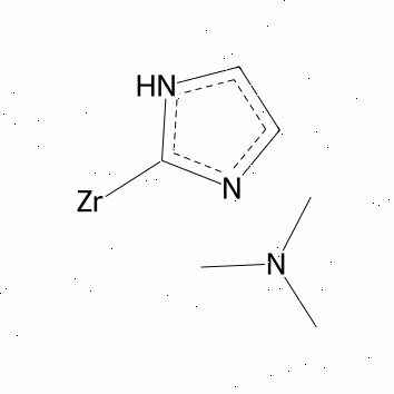 CN(C)C.[Zr][c]1ncc[nH]1